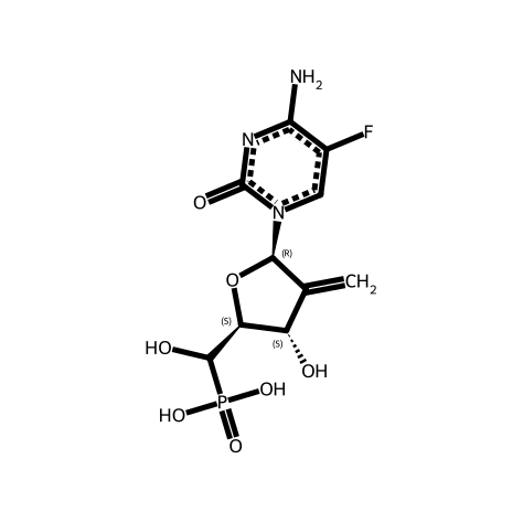 C=C1[C@H](n2cc(F)c(N)nc2=O)O[C@H](C(O)P(=O)(O)O)[C@H]1O